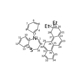 C1=CN(c2ccccc2)c2ccccc2SC1.CCC1(CC)CC=c2ccc3c(c2C1)CC=c1ccccc1=3